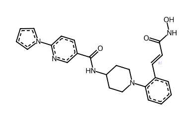 O=C(/C=C/c1ccccc1N1CCC(NC(=O)c2ccc(-n3cccc3)nc2)CC1)NO